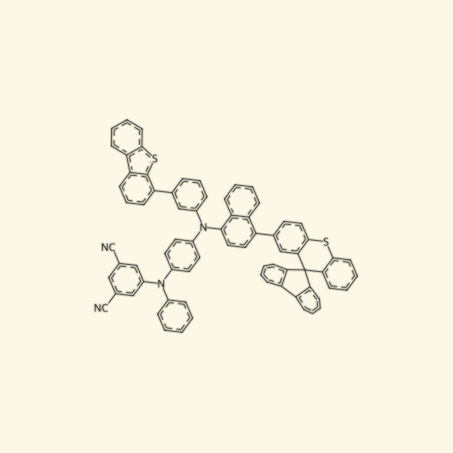 N#Cc1cc(C#N)cc(N(c2ccccc2)c2ccc(N(c3cccc(-c4cccc5c4sc4ccccc45)c3)c3ccc(-c4ccc5c(c4)C4(c6ccccc6S5)c5ccccc5-c5ccccc54)c4ccccc34)cc2)c1